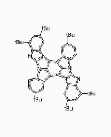 CC(C)(C)c1ccc2c(c1)c1c3c4c(c5cc(C(C)(C)C)ccc5n4c4nc5c(C(C)(C)C)cc(C(C)(C)C)cc5n34)c3c1n2c1nc2c(C(C)(C)C)cc(C(C)(C)C)cc2n31